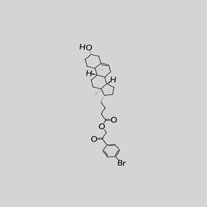 C[C@]12CC[C@H]3C(CC=C4C[C@@H](O)CC[C@@]43C)[C@@H]1CC[C@@H]2CCCC(=O)OCC(=O)c1ccc(Br)cc1